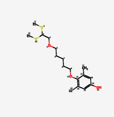 CCSC(COCCCCCOc1c(C)cc(O)cc1CC)SCC